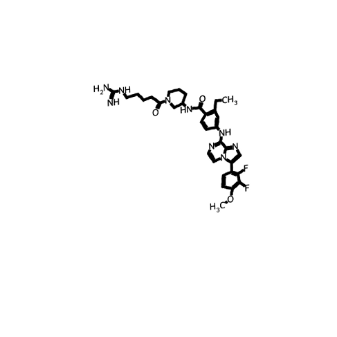 CCc1cc(Nc2nccn3c(-c4ccc(OC)c(F)c4F)cnc23)ccc1C(=O)NC1CCCN(C(=O)CCCCNC(=N)N)C1